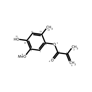 C=C(C)C(=O)Oc1cc(OC)c(O)cc1C